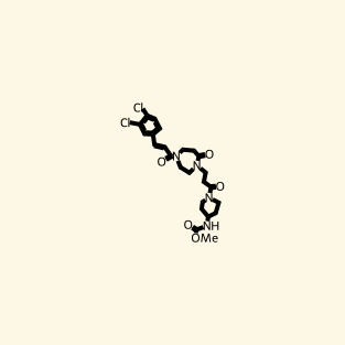 COC(=O)NC1CCN(C(=O)CCN2CCN(C(=O)/C=C/c3ccc(Cl)c(Cl)c3)CCC2=O)CC1